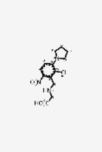 O=C(O)CNCc1c([N+](=O)[O-])ccc(N2CCCC2)c1Cl